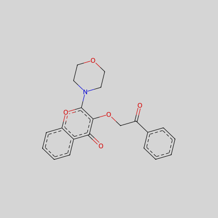 O=C(COc1c(N2CCOCC2)oc2ccccc2c1=O)c1ccccc1